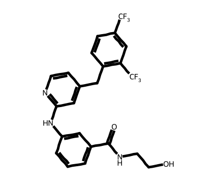 O=C(NCCO)c1cccc(Nc2cc(Cc3ccc(C(F)(F)F)cc3C(F)(F)F)ccn2)c1